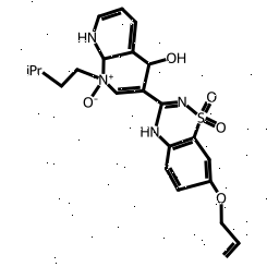 C=CCOc1ccc2c(c1)S(=O)(=O)N=C(C1=C[N+]([O-])(CCC(C)C)C3NC=CC=C3C1O)N2